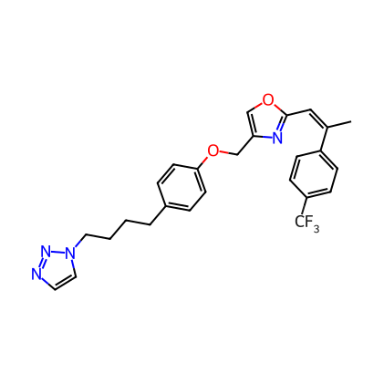 CC(=Cc1nc(COc2ccc(CCCCn3ccnn3)cc2)co1)c1ccc(C(F)(F)F)cc1